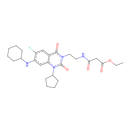 CCOC(=O)CC(=O)NCCn1c(=O)c2cc(F)c(NC3CCCCC3)cc2n(C2CCCC2)c1=O